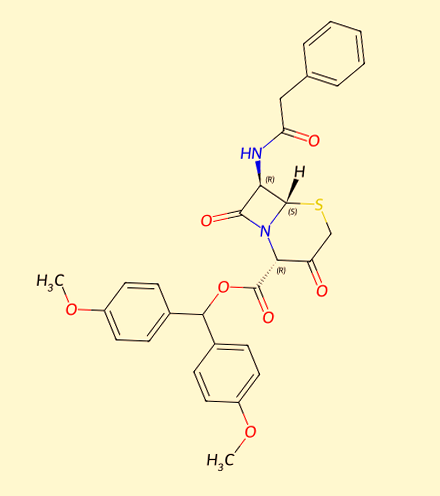 COc1ccc(C(OC(=O)[C@H]2C(=O)CS[C@H]3[C@H](NC(=O)Cc4ccccc4)C(=O)N23)c2ccc(OC)cc2)cc1